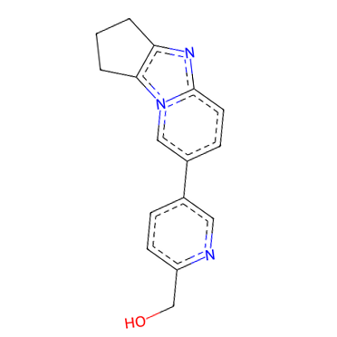 OCc1ccc(-c2ccc3nc4c(n3c2)CCC4)cn1